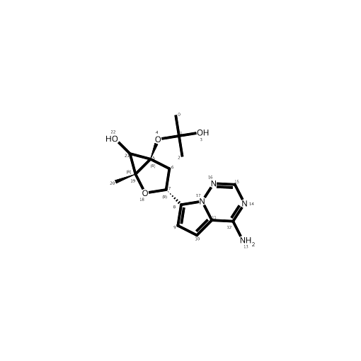 CC(C)(O)O[C@@]12C[C@H](c3ccc4c(N)ncnn34)O[C@]1(C)C2O